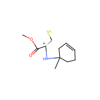 COC(=O)[C@H](CS)NC1(C)CC=CCC1